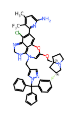 Cc1cc(N)nc(-c2cc3c4c(c2Cl)=NCNC=4N(Cc2cnn(C(c4ccccc4)(c4ccccc4)c4ccccc4)c2)C=C(OC[C@@]24CCCN2C[C@H](F)C4)O3)c1C(F)(F)F